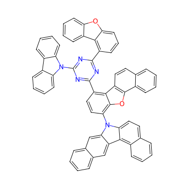 c1ccc2cc3c(cc2c1)c1c2ccccc2ccc1n3-c1ccc(-c2nc(-c3cccc4oc5ccccc5c34)nc(-n3c4ccccc4c4ccccc43)n2)c2c1oc1c3ccccc3ccc12